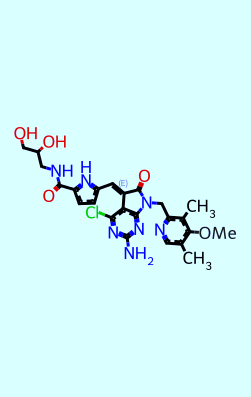 COc1c(C)cnc(CN2C(=O)/C(=C/c3ccc(C(=O)NCC(O)CO)[nH]3)c3c(Cl)nc(N)nc32)c1C